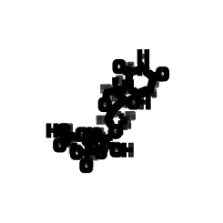 C[C@]1(n2ccc(=O)[nH]c2=O)CO[C@](CF)(COP(=O)(O)OP(=O)(O)OP(=O)(O)O)[C@H]1O